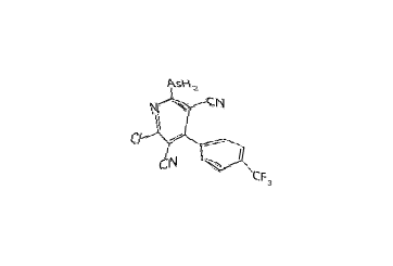 N#Cc1c(Cl)nc([AsH2])c(C#N)c1-c1ccc(C(F)(F)F)cc1